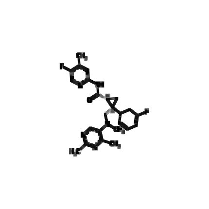 Cc1ncc(N(C)C[C@@]2(C3C=CC=C(F)C3)C[C@H]2C(=O)Nc2cc(C)c(F)cn2)c(C)n1